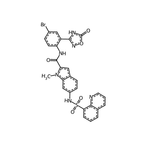 Cn1c(C(=O)Nc2ccc(Br)cc2-c2noc(=O)[nH]2)cc2ccc(NS(=O)(=O)c3cccc4cccnc34)cc21